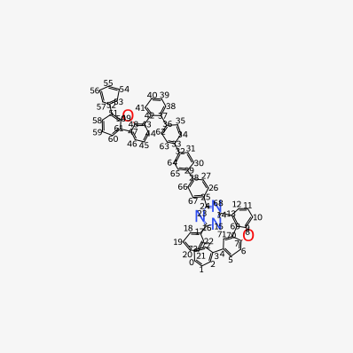 c1ccc(-c2ccc3oc4cccc(-c5nc(-c6ccccc6)nc(-c6ccc(-c7ccc(-c8ccc(-c9ccccc9-c9cccc%10c9oc9c(-c%11ccccc%11)cccc9%10)cc8)cc7)cc6)n5)c4c3c2)cc1